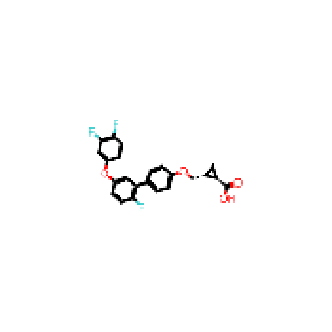 O=C(O)[C@@H]1C[C@H]1COc1ccc(-c2cc(Oc3ccc(F)c(F)c3)ccc2F)cc1